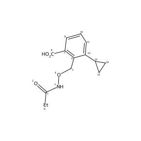 CCC(=O)NOCc1c(C(=O)O)cccc1C1CC1